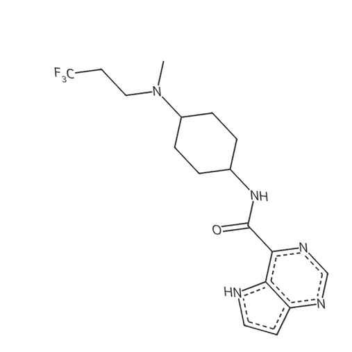 CN(CCC(F)(F)F)C1CCC(NC(=O)c2ncnc3cc[nH]c23)CC1